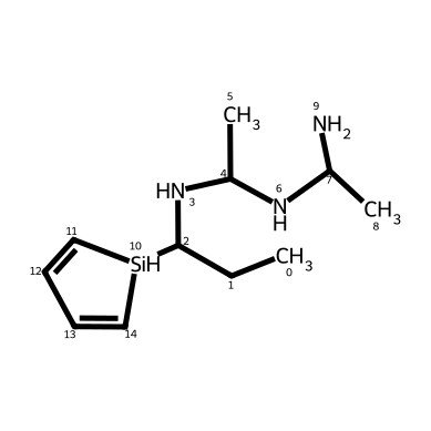 CCC(NC(C)NC(C)N)[SiH]1C=CC=C1